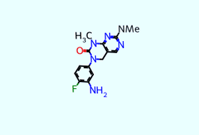 CNc1ncc2c(n1)N(C)C(=O)N(c1ccc(F)c(N)c1)C2